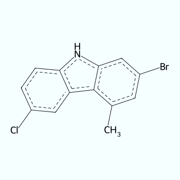 Cc1cc(Br)cc2[nH]c3ccc(Cl)cc3c12